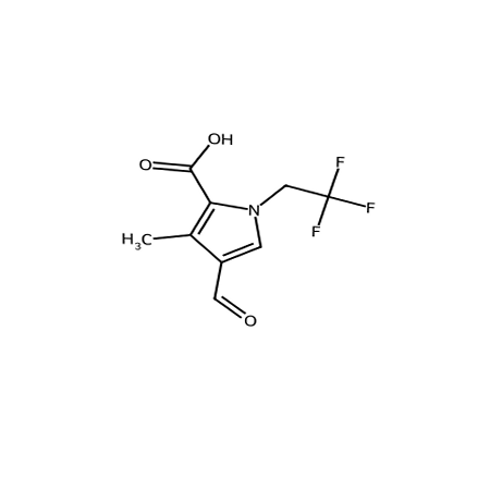 Cc1c(C=O)cn(CC(F)(F)F)c1C(=O)O